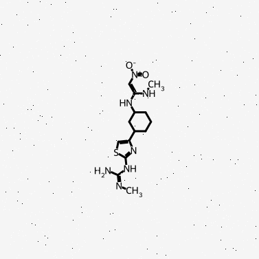 C/N=C(/N)Nc1nc(C2CCCC(N/C(=C/[N+](=O)[O-])NC)C2)cs1